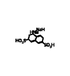 O=S(=O)(O)C1=CC2=CC(S(=O)(=O)O)CCC2=CC1.[NaH].[NaH]